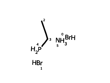 Br.Br.CCP.N